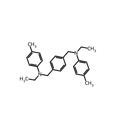 CCN(Cc1ccc(CN(CC)c2ccc(C)cc2)cc1)c1ccc(C)cc1